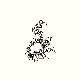 Cc1ccc(NC(=O)N[C@@H](Cc2cc(F)cc(F)c2)C(=O)N[C@@H]2C(=O)N3CCC[C@H]3C(=O)N3CCCC[C@H]3C(=O)N[C@@H](C)C(=O)N3C[C@H](C)C[C@]34C(=O)[C@H]4C2(C)C)cc1